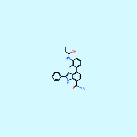 C=CC(O)Nc1cccc(-c2ccc(C(N)=O)c3[nH]c(-c4ccccc4)cc23)c1C